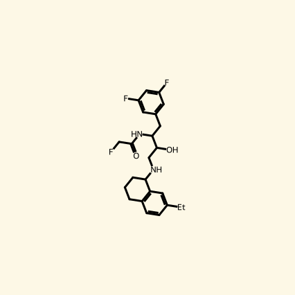 CCc1ccc2c(c1)C(NCC(O)C(Cc1cc(F)cc(F)c1)NC(=O)CF)CCC2